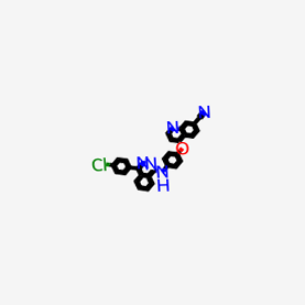 N#Cc1ccc2c(Oc3ccc(Nc4nnc(-c5ccc(Cl)cc5)c5ccccc45)cc3)ccnc2c1